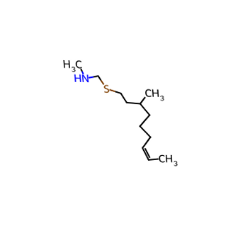 C/C=C\CCCC(C)CCSCNC